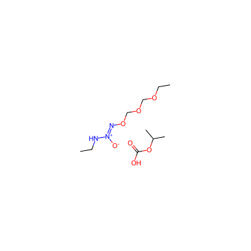 CC(C)OC(=O)O.CCN/[N+]([O-])=N/OCOCOCC